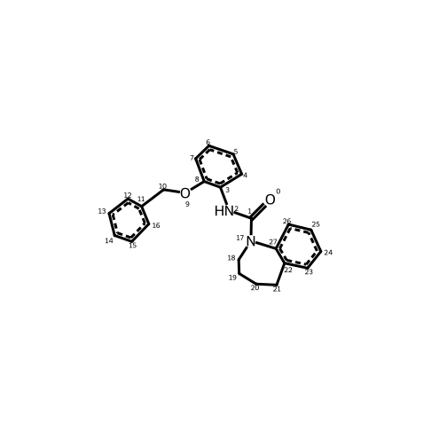 O=C(Nc1ccccc1OCc1ccccc1)N1CCCCc2ccccc21